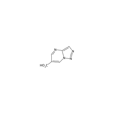 O=C(O)c1cnc2cnnn2c1